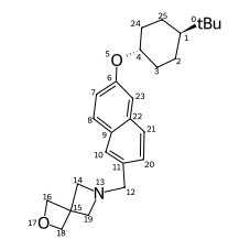 CC(C)(C)[C@H]1CC[C@H](Oc2ccc3cc(CN4CC5(COC5)C4)ccc3c2)CC1